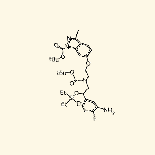 CC[Si](CC)(CC)OC(CN(CCOc1ccc2c(C)nn(C(=O)OC(C)(C)C)c2c1)C(=O)OC(C)(C)C)c1ccc(F)c(N)c1